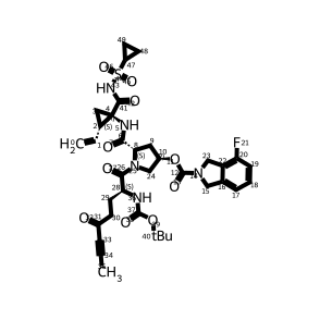 C=C[C@@H]1C[C@]1(NC(=O)[C@@H]1C[C@@H](OC(=O)N2Cc3cccc(F)c3C2)CN1C(=O)[C@H](CCC(=O)C#CC)NC(=O)OC(C)(C)C)C(=O)NS(=O)(=O)C1CC1